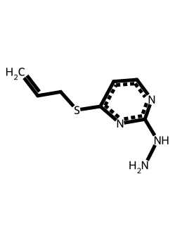 C=CCSc1ccnc(NN)n1